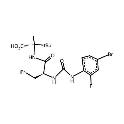 CC(C)C[C@H](NC(=O)Nc1ccc(Br)cc1F)C(=O)N[C@](C)(C(=O)O)C(C)(C)C